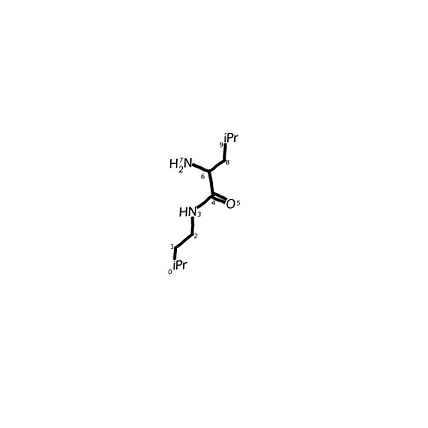 CC(C)CCNC(=O)C(N)CC(C)C